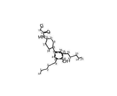 CCCCCc1cc(C2CCC(NC(=O)CCl)CC2)cc(CCCCC)c1O